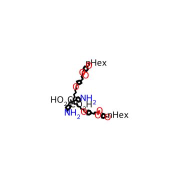 CCCCCCOc1ccc(OC(=O)C=Cc2ccc(OCCCCCCC(CCCCCCOc3ccc(C=CC(=O)Oc4ccc(OCCCCCC)cc4)cc3)(c3ccc(N)cc3)C(Cc3ccc(N)cc3)(C(=O)O)C(=O)O)cc2)cc1